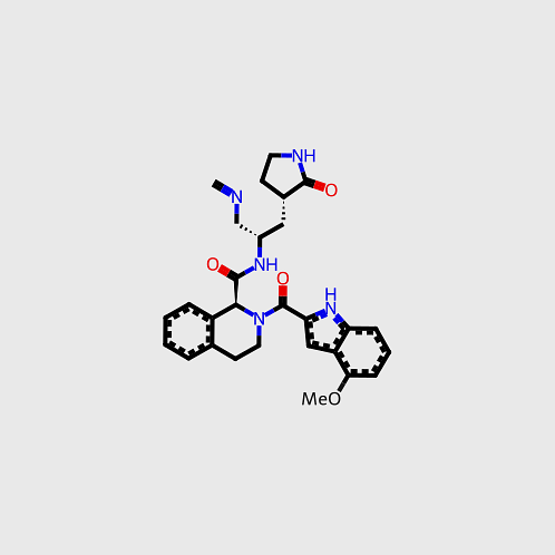 C=NC[C@H](C[C@@H]1CCNC1=O)NC(=O)[C@@H]1c2ccccc2CCN1C(=O)c1cc2c(OC)cccc2[nH]1